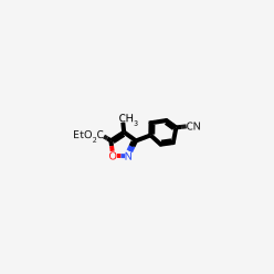 CCOC(=O)c1onc(-c2ccc(C#N)cc2)c1C